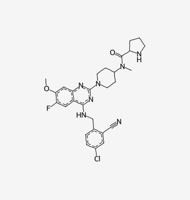 COc1cc2nc(N3CCC(N(C)C(=O)C4CCCN4)CC3)nc(NCc3ccc(Cl)cc3C#N)c2cc1F